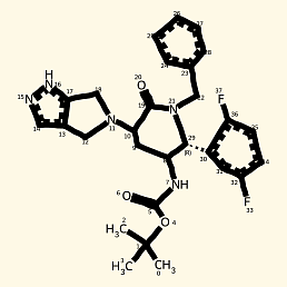 CC(C)(C)OC(=O)NC1CC(N2Cc3cn[nH]c3C2)C(=O)N(Cc2ccccc2)[C@@H]1c1cc(F)ccc1F